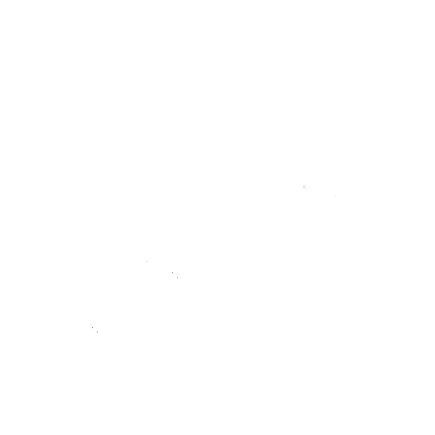 C=C(C)C1CCC(C)=CC1c1c(O)cc(CCCCC)c(S(=O)(=O)NC(=O)c2cccnc2)c1O